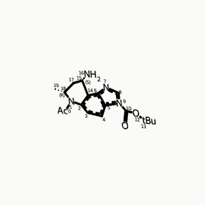 CC(=O)N1c2ccc3c(ncn3C(=O)OC(C)(C)C)c2[C@@H](N)C[C@H]1C